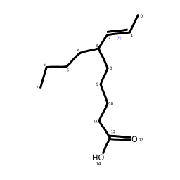 C/C=C/C(CCCC)CCCCC(=O)O